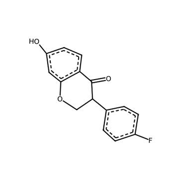 O=C1c2ccc(O)cc2OCC1c1ccc(F)cc1